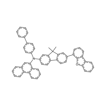 CC1(C)c2cc(-c3cccc4c3oc3ccccc34)ccc2-c2ccc(N(c3ccc(-c4ccccc4)cc3)c3cc4ccccc4c4ccccc34)cc21